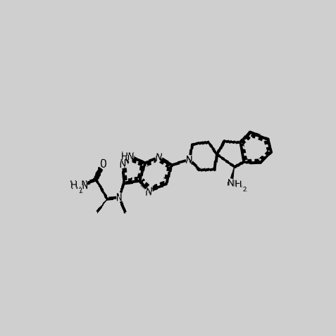 C[C@@H](C(N)=O)N(C)c1n[nH]c2nc(N3CCC4(CC3)Cc3ccccc3[C@H]4N)cnc12